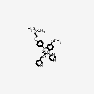 COc1ccc(N(C(=O)OCc2cccnc2)c2ccncn2)c(Nc2ccc(OCCN(C)C)cc2)c1